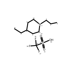 CCCN1CCC(CC)CC1.O=S(=O)(O)C(F)(F)F